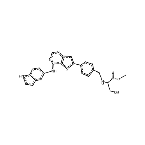 COC(=O)C(CO)NCc1ccc(-c2cc3ncnc(Nc4ccc5[nH]ccc5c4)c3s2)cc1